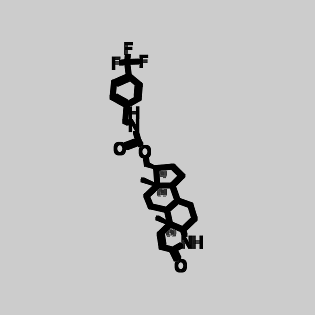 C[C@]12C=CC(=O)NC1CCC1C2CC[C@@]2(C)C1CC[C@@H]2COC(=O)NCc1ccc(C(F)(F)F)cc1